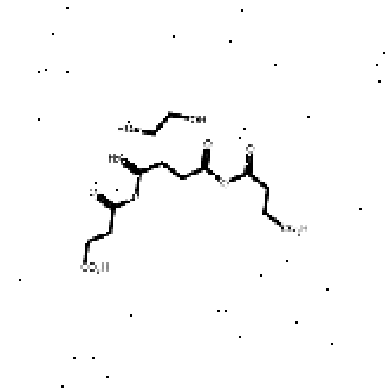 N=C(CCC(=O)OC(=O)CCC(=O)O)OC(=O)CCC(=O)O.OCCO